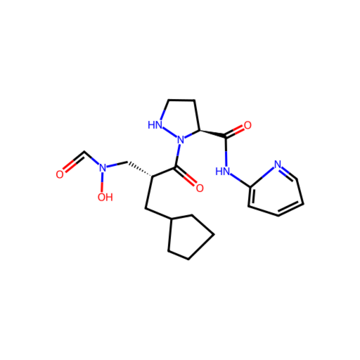 O=CN(O)C[C@@H](CC1CCCC1)C(=O)N1NCC[C@H]1C(=O)Nc1ccccn1